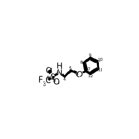 O=S(=O)(NCCOc1cc[c]cc1)C(F)(F)F